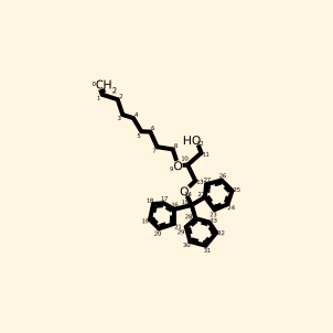 C=CCCCCCCCOC(CO)COC(c1ccccc1)(c1ccccc1)c1ccccc1